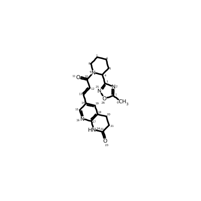 Cc1nc(C2CCCCN2C(=O)C=Cc2cnc3c(c2)CCC(=O)N3)no1